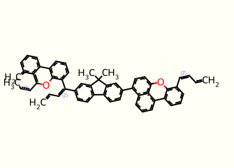 C=C/C=C\c1cccc2c1Oc1ccc(-c3ccc4c(c3)C(C)(C)c3cc(/C(=C/C=C)c5cccc6c5OC(/C=C\C)=c5c-6cccc5=C)ccc3-4)c3cccc-2c13